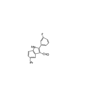 CC(C)c1ccc2[nH]c(-c3cccc(F)c3)c(C=O)c2c1